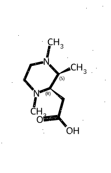 C[C@H]1[C@@H](CC(=O)O)N(C)CCN1C